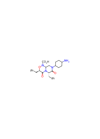 CC(C)C[C@H]1ON(C(=O)O)C2CN(C3CCC(N)CC3)C(=O)[C@H](CC(C)C)N2C1=O